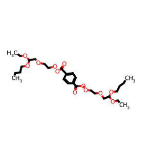 CCCCOC(COCCOOC(=O)c1ccc(C(=O)OOCCOCC(OCC)OCCCC)cc1)OCC